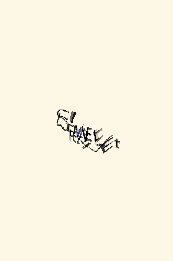 CCN(CC(C)(C)CC(C)(C)CC)/C(C)=[N+](\CC)Cc1c(F)cccc1Cl